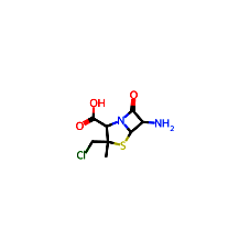 CC1(CCl)SC2C(N)C(=O)N2C1C(=O)O